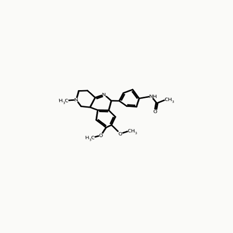 COc1cc2c(cc1OC)C(c1ccc(NC(C)=O)cc1)N=C1CCN(C)CC12